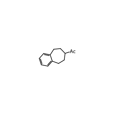 CC(=O)C1CCc2ccccc2CC1